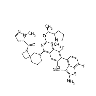 C[C@H](Oc1nc(N2CCCC3(CCN3C(=O)c3ccnn3C)C2)c2cc(Cl)c(-c3ccc(F)c4sc(N)c(C#N)c34)c(F)c2n1)C1CCCN1C